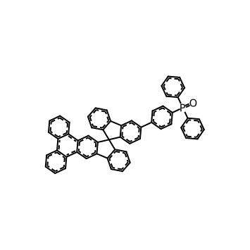 O=P(c1ccccc1)(c1ccccc1)c1ccc(-c2ccc3c(c2)-c2ccccc2C32c3ccccc3-c3cc4c5ccccc5c5ccccc5c4cc32)cc1